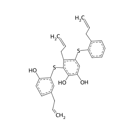 C=CCc1ccc(O)c(Sc2c(O)c(O)cc(Sc3ccccc3CC=C)c2CC=C)c1